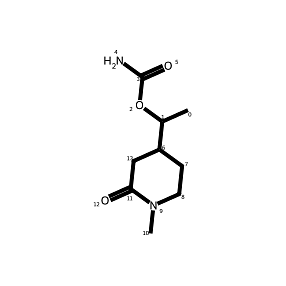 CC(OC(N)=O)C1CCN(C)C(=O)C1